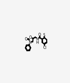 O=C(NCC1CN(c2ccccc2)C(=O)O1)C1=CC(Cl)=CCC1=S